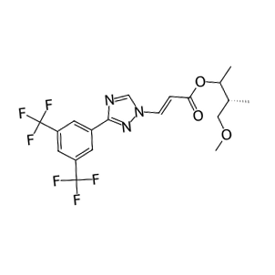 COC[C@@H](C)C(C)OC(=O)/C=C/n1cnc(-c2cc(C(F)(F)F)cc(C(F)(F)F)c2)n1